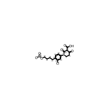 O=C(O)C1C(=O)CCN(c2ccc(CCCCO[N+](=O)[O-])c(Cl)c2)C1=O